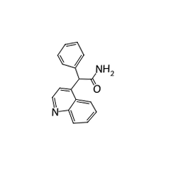 NC(=O)C(c1ccccc1)c1ccnc2ccccc12